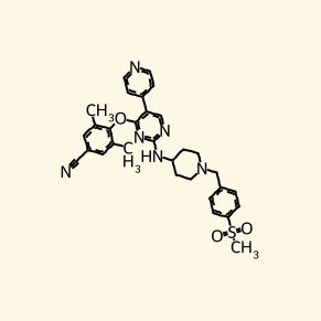 Cc1cc(C#N)cc(C)c1Oc1nc(NC2CCN(Cc3ccc(S(C)(=O)=O)cc3)CC2)ncc1-c1ccncc1